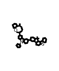 C=C1/C=C\C=C(\c2ccc3c(c2)c2cc(-c4ccc5c(c4)-c4ccc6sc7ccccc7c6c4C5(C)C)ccc2n3-c2ccccc2)COc2ccccc21